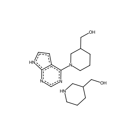 OCC1CCCN(c2ncnc3[nH]ccc23)C1.OCC1CCCNC1